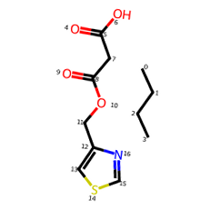 CCCC.O=C(O)CC(=O)OCc1cscn1